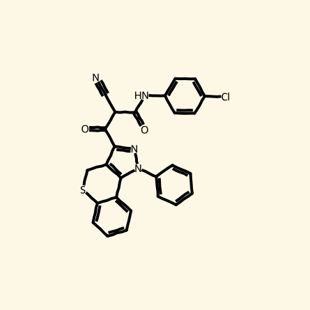 N#CC(C(=O)Nc1ccc(Cl)cc1)C(=O)c1nn(-c2ccccc2)c2c1CSc1ccccc1-2